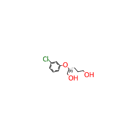 OCCC[C@H](CO)Oc1cccc(Cl)c1